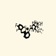 CN(C(=O)O)c1c(N)nc(-n2nc(Cc3c(F)ccc(F)c3F)c3ccccc32)nc1N